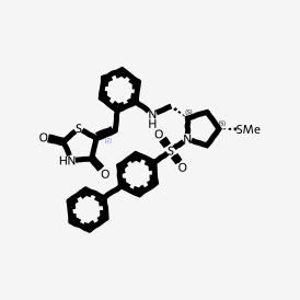 CS[C@H]1C[C@@H](CNc2ccccc2/C=C2\SC(=O)NC2=O)N(S(=O)(=O)c2ccc(-c3ccccc3)cc2)C1